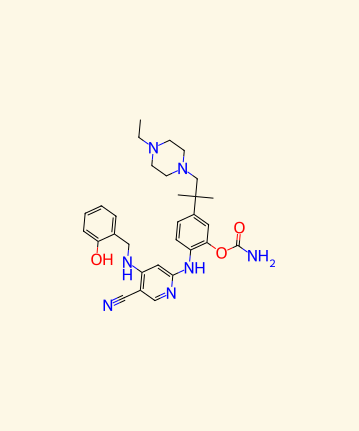 CCN1CCN(CC(C)(C)c2ccc(Nc3cc(NCc4ccccc4O)c(C#N)cn3)c(OC(N)=O)c2)CC1